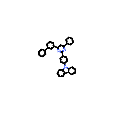 C1=CC2c3ccccc3N(c3ccc(-c4nc(-c5ccccc5)cc(-c5cccc(-c6ccccc6)c5)n4)cc3)C2C=C1